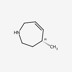 C[C@H]1C=CCNCC1